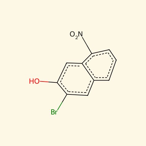 O=[N+]([O-])c1cccc2cc(Br)c(O)cc12